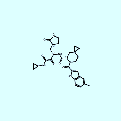 Cc1ccc2[nH]c(C(=O)N3CCC4(CC4)C[C@H]3C(=O)N[C@@H](C[C@@H]3CCNC3=O)C(=O)C(=O)NC3CC3)cc2c1